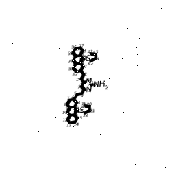 Nc1nc(C=Cc2ccc3cc4ccccc4c([SH]4C=CC=C4)c3c2)cc(C=Cc2ccc3cc4ccccc4c([SH]4C=CC=C4)c3c2)n1